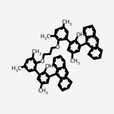 Cc1cc(-c2cc(C)cc(C)c2OCCCOc2c(C)cc(C)cc2-c2cc(C)cc(-c3c4ccccc4cc4ccccc34)c2O)c(O)c(-c2c3ccccc3cc3ccccc23)c1